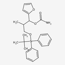 CC(CO[Si](c1ccccc1)(c1ccccc1)C(C)(C)C)C(OC(N)=O)c1ccco1